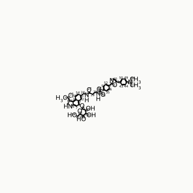 C[C@@H](Cl)[C@@H]1CNc2cc(O[C@@H]3OC(CO)[C@H](O)C(O)C3O)c3cc(CNC(=O)CCNS(=O)(=O)c4ccc(-c5ncc(-c6ccc(N(C)C)cc6)o5)cc4)ccc3c21